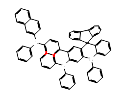 c1ccc(N(c2ccc(-c3cc4c(cc3N(c3ccccc3)c3ccccc3)N(c3ccccc3)c3ccccc3C43c4ccccc4-c4ccccc43)cc2)c2ccc3ccccc3c2)cc1